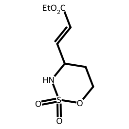 CCOC(=O)/C=C/C1CCOS(=O)(=O)N1